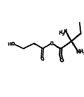 CCC(N)(N)C(=O)OC(=O)CCO